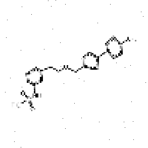 O=S(=O)(Nc1cccc(CCOCc2ccc(-c3ccc(C(F)(F)F)cc3)cc2)c1)C(F)(F)F